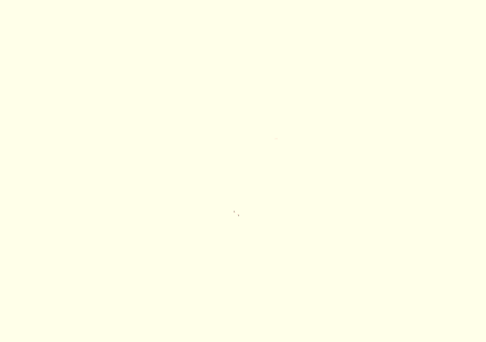 O=P(O)(O)CC=NO